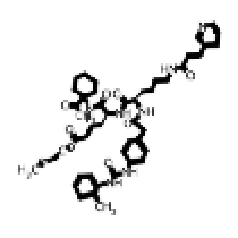 COCCOC(=O)CCC[C@H](NC(=O)[C@@H](CCCCNC(=O)/C=C/c1cccnc1)NC(=O)Cc1ccc(NC(=O)Nc2ccccc2C)cc1)C(=O)NC1(C(C)=O)CCCCC1